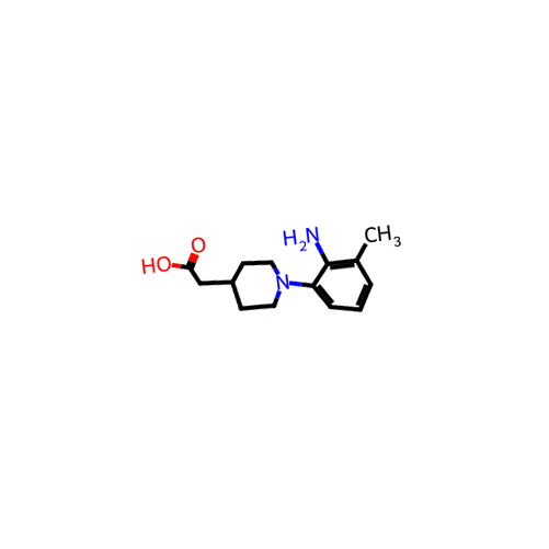 Cc1cccc(N2CCC(CC(=O)O)CC2)c1N